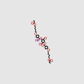 C=CC(=O)OCCCCCCOc1ccc(C(=O)Oc2cc(C=O)c(OC(=P)c3ccc(OCCCCCCOC(=O)C=C)cc3)cc2C=O)cc1